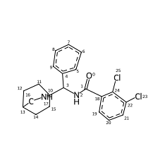 O=C(NC(c1ccccc1)C12CCC(CC1)CN2)c1cccc(Cl)c1Cl